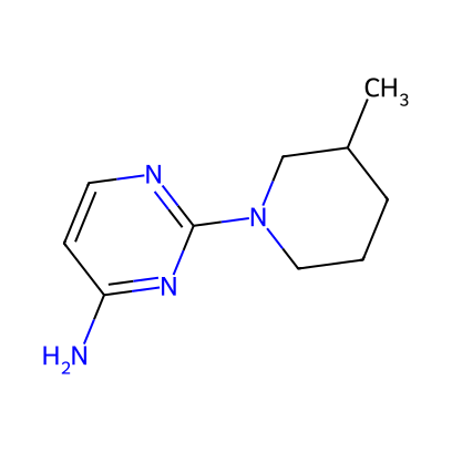 CC1CCCN(c2nccc(N)n2)C1